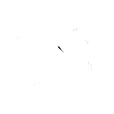 CCCCCCCCCCCCC[C@H](CCCCCCCCCCCC)c1[nH]cc[n+]1CCC